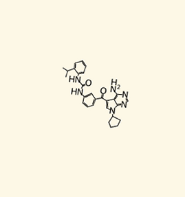 CC(C)c1ccccc1NC(=O)Nc1cccc(C(=O)c2cn(C3CCCC3)c3ncnc(N)c23)c1